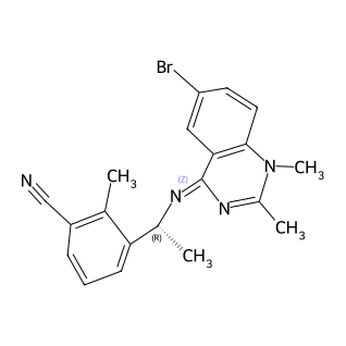 Cc1c(C#N)cccc1[C@@H](C)/N=c1\nc(C)n(C)c2ccc(Br)cc12